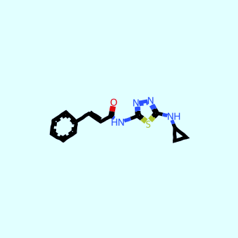 O=C(/C=C/c1ccccc1)Nc1nnc(NC2CC2)s1